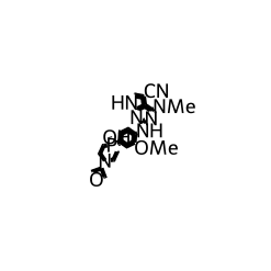 CNc1nc(Nc2ccc([P]3(O)CCN(C4COC4)CC3)cc2OC)nc2[nH]cc(C#N)c12